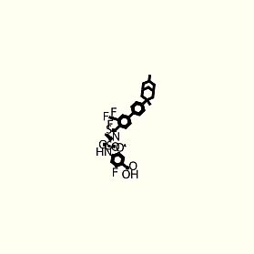 COc1cc(C(=O)O)c(F)cc1NS(=O)(=O)c1csc(-c2ccc(-c3ccc(C4(C)CC5CC(C)CC(C5)C4)cc3)cc2C(F)(F)F)n1